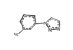 N#Cc1cccc(-n2ccnn2)c1